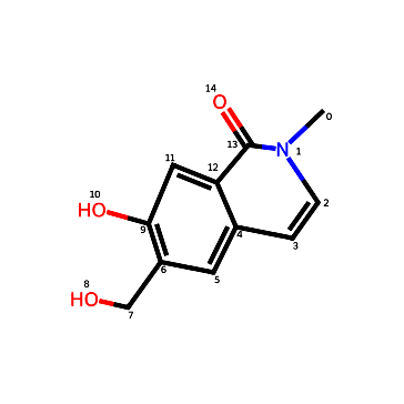 Cn1ccc2cc(CO)c(O)cc2c1=O